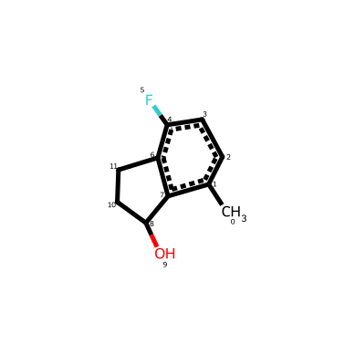 Cc1ccc(F)c2c1C(O)CC2